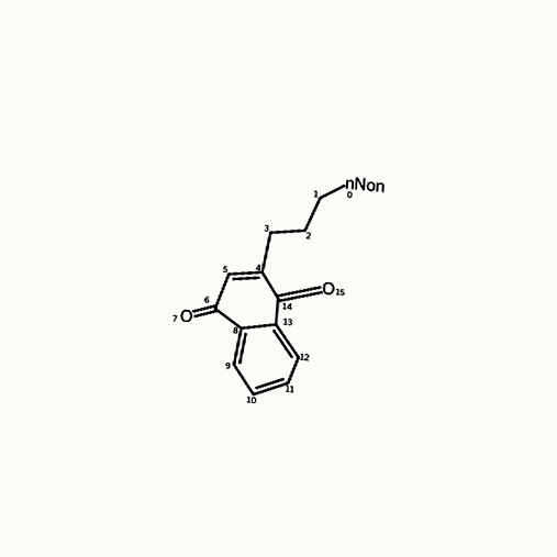 CCCCCCCCCCCCC1=CC(=O)c2ccccc2C1=O